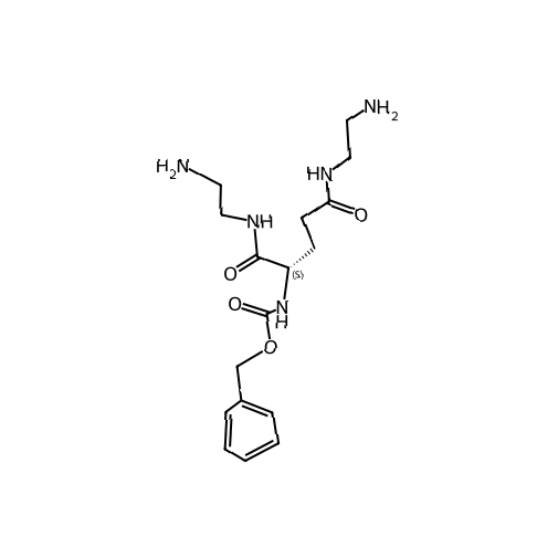 NCCNC(=O)CC[C@H](NC(=O)OCc1ccccc1)C(=O)NCCN